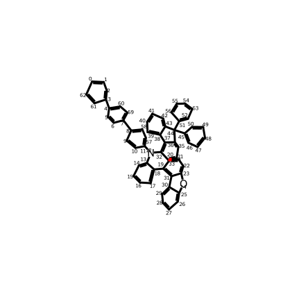 c1ccc(-c2ccc(-c3ccc(N(c4ccccc4-c4cccc5oc6ccccc6c45)c4cccc5c4-c4ccccc4C5(c4ccccc4)c4ccccc4)cc3)cc2)cc1